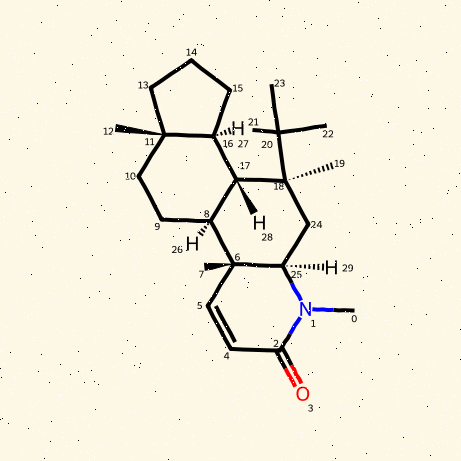 CN1C(=O)C=C[C@]2(C)[C@H]3CC[C@]4(C)CCC[C@H]4[C@@H]3[C@@](C)(C(C)(C)C)C[C@@H]12